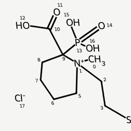 C[N+]1(CCS)CCCCC1(C(=O)O)P(=O)(O)O.[Cl-]